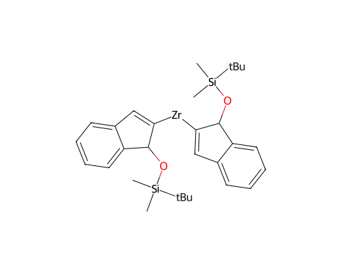 CC(C)(C)[Si](C)(C)OC1[C]([Zr][C]2=Cc3ccccc3C2O[Si](C)(C)C(C)(C)C)=Cc2ccccc21